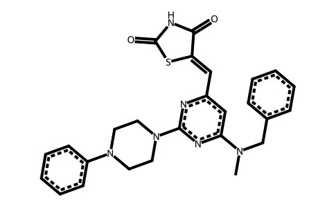 CN(Cc1ccccc1)c1cc(/C=C2\SC(=O)NC2=O)nc(N2CCN(c3ccccc3)CC2)n1